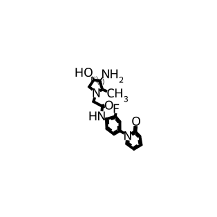 CC1[C@@H](N)[C@@H](O)CN1CC(=O)Nc1ccc(-n2ccccc2=O)cc1F